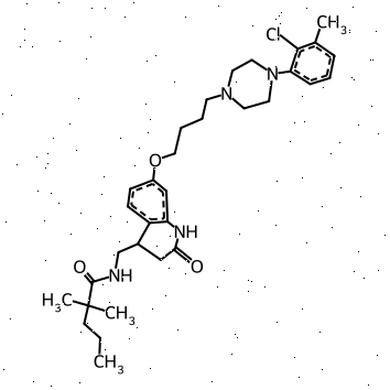 CCCC(C)(C)C(=O)NCC1CC(=O)Nc2cc(OCCCCN3CCN(c4cccc(C)c4Cl)CC3)ccc21